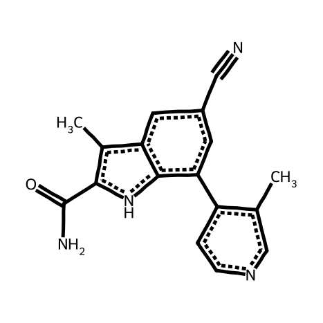 Cc1cnccc1-c1cc(C#N)cc2c(C)c(C(N)=O)[nH]c12